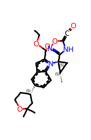 CCOC(=O)c1cc2cc([C@H]3CCOC(C)(C)C3)ccc2n1[C@@]1(C2=NOC(=C=O)N2)C[C@@H]1C